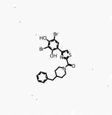 O=C(c1nc(-c2cc(Br)c(O)c(Br)c2O)cs1)N1CCC(Cc2ccccc2)CC1